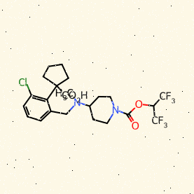 CN(Cc1cccc(Cl)c1C1(C(=O)O)CCCC1)C1CCN(C(=O)OC(C(F)(F)F)C(F)(F)F)CC1